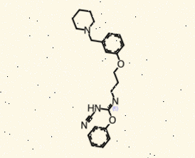 N#CN/C(=N\CCCOc1cccc(CN2CCCCC2)c1)Oc1ccccc1